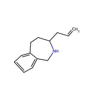 C=CCC1CCc2ccccc2CN1